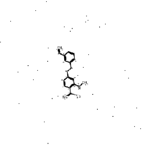 C=Cc1cccc(CCc2ccc(C(=C)N)c(NC)c2)c1